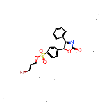 O=C1N=C(c2ccccc2)C(c2ccc(S(=O)(=O)OCCCBr)cc2)O1